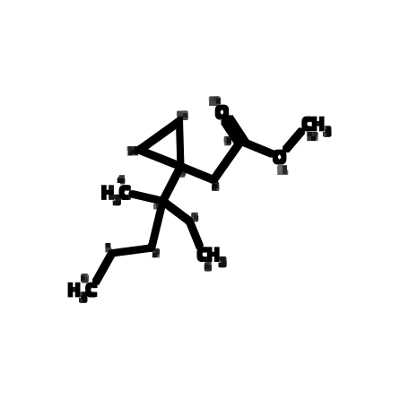 CCCC(C)(CC)C1(CC(=O)OC)CC1